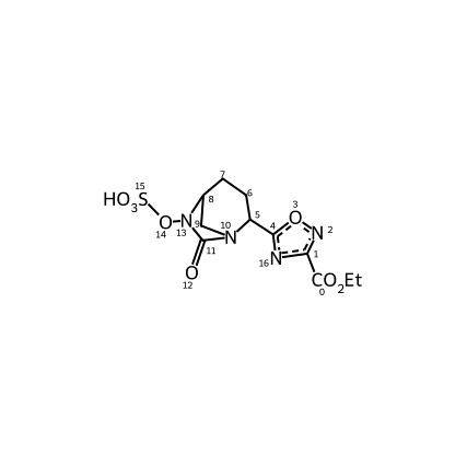 CCOC(=O)c1noc(C2CCC3CN2C(=O)N3OS(=O)(=O)O)n1